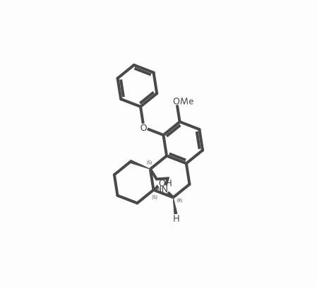 COc1ccc2c(c1Oc1ccccc1)[C@@]13CCCC[C@@]1(O)[C@@H](C2)NCC3